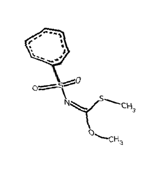 CO/C(=N/S(=O)(=O)c1ccccc1)SC